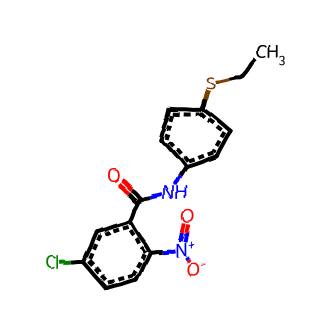 CCSc1ccc(NC(=O)c2cc(Cl)ccc2[N+](=O)[O-])cc1